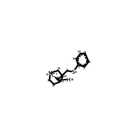 c1ccc(SC[C@H]2CN3CCC2CC3)cc1